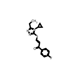 CCc1nnc(S/C=C/C(=O)c2ccc(F)cc2)n1C1CC1